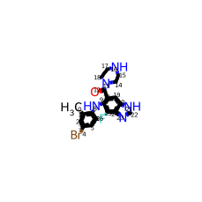 Cc1cc(Br)ccc1Nc1c(C(=O)N2CCNCC2)cc2[nH]cnc2c1F